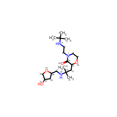 CC(C)(C)NCCN1CCOC(CC(C)(C)NCC2CC(O)CO2)C1=O